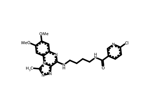 COc1cc2nc(NCCCCNC(=O)c3ccc(Cl)nc3)c3nnc(C)n3c2cc1OC